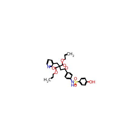 C=CCOC(=O)C(CC(=O)c1ccc(NS(=O)(=O)c2ccc(O)cc2)cc1)(Cc1cccnc1)C(=O)OCC=C